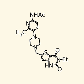 CCn1c(=O)[nH]c2cc(CN3CCN(c4ccc(NC(C)=O)nc4C)CC3)sc2c1=O